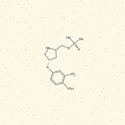 CCCCCCCCc1ccc(O[C@@H]2CNC(COP(=O)(O)O)C2)cc1C(F)(F)F